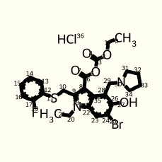 CCOC(=O)OC(=O)c1c(CSc2ccccc2F)n(CC)c2cc(Br)c(O)c(CN3CCCC3)c12.Cl